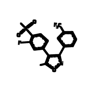 Cc1onc(-c2cccc(C(F)(F)F)c2)c1-c1ccc(S(C)(=O)=O)c(F)c1